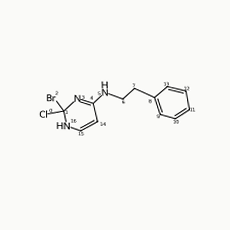 ClC1(Br)N=C(NCCc2ccccc2)C=CN1